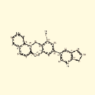 O=c1cnc2ccncc2n1Cc1c(F)cc(-c2cnc3c(c2)C=CC3)cc1F